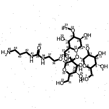 CCCC1(O[C@H]2OC(CO)[C@@H](O)C(O)C2O[C@@H]2OC(CO)[C@H](O)C(OC(C)C)[C@H]2O)C(O)[C@H](O)C(CO)O[C@@H]1OCCNC(=O)NCCCN